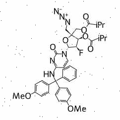 COc1ccc(C(Nc2ccn([C@@H]3O[C@](CN=[N+]=[N-])(COC(=O)C(C)C)[C@@H](OC(=O)C(C)C)[C@H]3F)c(=O)n2)(c2ccccc2)c2ccc(OC)cc2)cc1